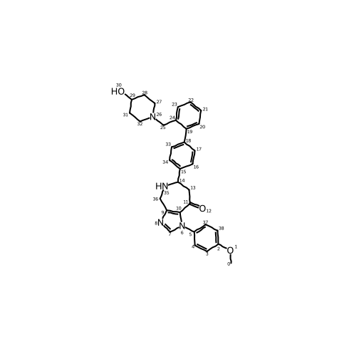 COc1ccc(-n2cnc3c2C(=O)CC(c2ccc(-c4ccccc4CN4CCC(O)CC4)cc2)NC3)cc1